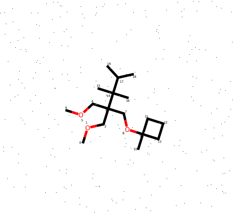 COCC(COC)(COC1(C)CCC1)C(C)(C)C(C)C